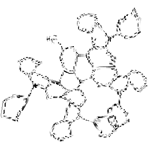 Cc1cc2c3c(c1)-c1c4c(cc5c(c4cc4c1c1ccccc1n4-c1ccccc1)c1ccccc1n5-c1ccccc1)B3c1cc3c(c4cc5c(c-2c14)c1ccccc1n5-c1ccccc1)c1ccccc1n3-c1ccccc1